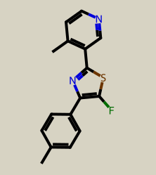 Cc1ccc(-c2nc(-c3cnccc3C)sc2F)cc1